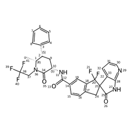 C[C@@H]1[C@H](c2ccccc2)C[C@H](NC(=O)c2ccc3c(c2)C(F)(F)C2(C3)C(=O)Nc3ncccc32)C(=O)N1CC(F)(F)F